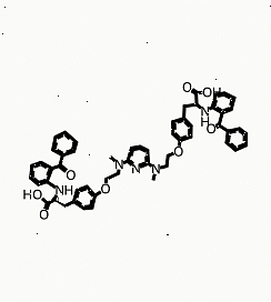 CN(CCOc1ccc(CC(Nc2ccccc2C(=O)c2ccccc2)C(=O)O)cc1)c1cccc(N(C)CCOc2ccc(C[C@H](Nc3ccccc3C(=O)c3ccccc3)C(=O)O)cc2)n1